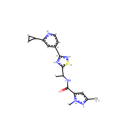 CC(NC(=O)c1cc(C(F)(F)F)nn1C)c1nc(-c2ccnc(C3CC3)c2)ns1